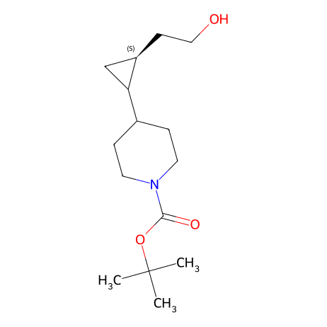 CC(C)(C)OC(=O)N1CCC(C2C[C@H]2CCO)CC1